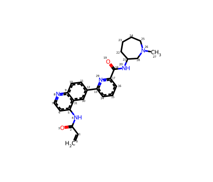 C=CC(=O)Nc1ccnc2ccc(-c3cccc(C(=O)NC4CCCCN(C)C4)n3)cc12